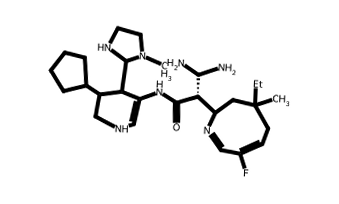 CCC1(C)C/C=C(F)\C=N/C([C@H](C(=O)NC2=CNCC(C3CCCC3)C2C2NCCN2C)C(N)N)C1